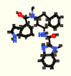 CN(C(=O)c1cccc2[nH]ccc12)[C@H](CCNC(=O)c1nc2ccccc2n1C)Cc1ccccc1